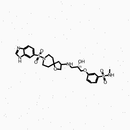 CNS(=O)(=O)c1cccc(OC[C@@H](O)CNC2COC3(CCN(S(=O)(=O)c4ccc5nc[nH]c5c4)CC3)C2)c1